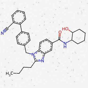 CCCCc1nc2cc(C(=O)NC3CCCCC3O)ccc2n1Cc1ccc(-c2ccccc2C#N)cc1